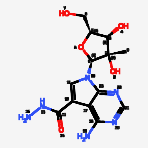 C[C@@]1(O)[C@H](O)[C@@H](CO)O[C@H]1n1cc(C(=O)NN)c2c(N)ncnc21